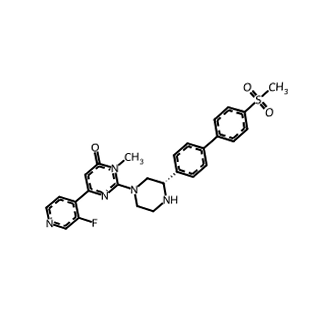 Cn1c(N2CCN[C@@H](c3ccc(-c4ccc(S(C)(=O)=O)cc4)cc3)C2)nc(-c2ccncc2F)cc1=O